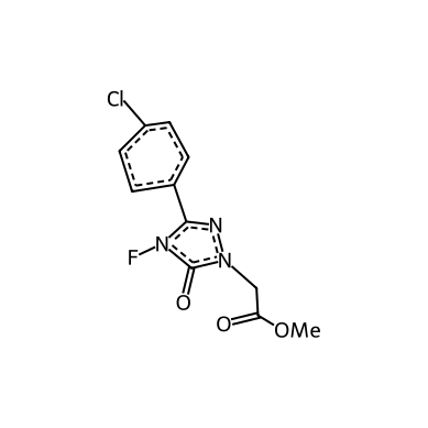 COC(=O)Cn1nc(-c2ccc(Cl)cc2)n(F)c1=O